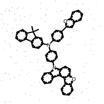 CC1(C)c2ccccc2-c2ccc(N(c3ccc(-c4cc5ccccc5o4)cc3)c3ccc(-n4c5ccccc5c5c6c(ccc54)oc4ccccc46)cc3)cc21